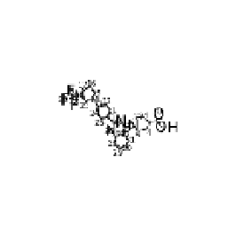 O=C(O)C1CCN(c2nc(-c3ccc(-c4cccc(C(F)(F)F)c4)cc3)nc3ccccc23)CC1